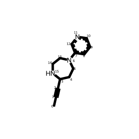 CC#CC1CCN(c2cccnc2)CCN1